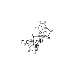 O=C(/C=C(\O)C(F)(F)F)C12CC3CC(C1)C(COC1CCCCO1)C(C3)C2